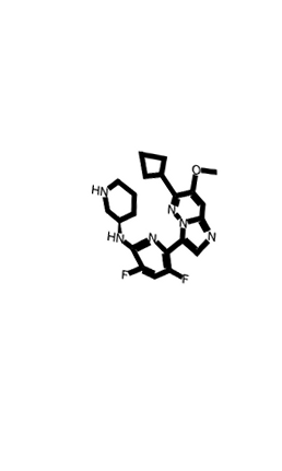 COc1cc2ncc(-c3nc(N[C@@H]4CCCNC4)c(F)cc3F)n2nc1C1CCC1